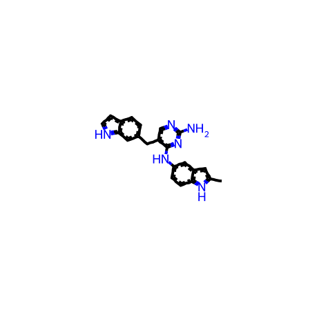 Cc1cc2cc(Nc3nc(N)ncc3Cc3ccc4cc[nH]c4c3)ccc2[nH]1